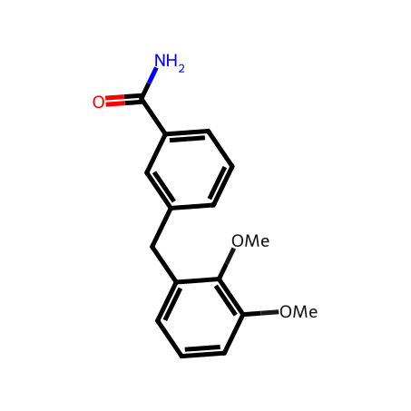 COc1cccc(Cc2cccc(C(N)=O)c2)c1OC